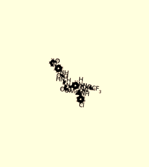 COC(=O)[C@H](CCNC(=O)C(=O)Nc1ccc(N2CCCC2=O)cc1)NC(=O)c1ccc(Nc2nc(NC3(c4ccc(Cl)cc4)CC3)nc(OCC(F)(F)F)n2)cc1